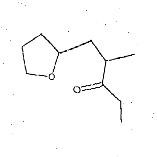 CCC(=O)C(C)CC1CCCO1